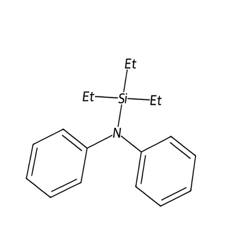 CC[Si](CC)(CC)N(c1ccccc1)c1ccccc1